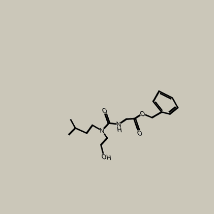 CC(C)CCN(CCO)C(=O)NCC(=O)OCc1ccccc1